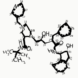 CC(C)(C)NC(=O)C1CN(Cc2cccnc2)CCN1C[C@@H](O)C[C@@H](Cc1ccccc1)C(=O)NC1c2ccccc2C[C@H]1O